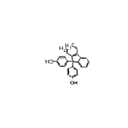 C=CC1=C(C=C)C(c2ccc(O)cc2)(c2ccc(O)cc2)c2ccccc21